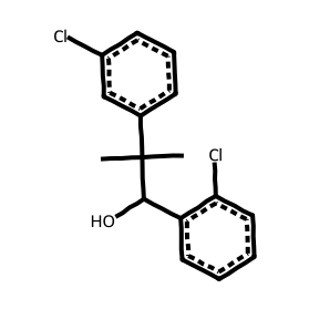 CC(C)(c1cccc(Cl)c1)C(O)c1ccccc1Cl